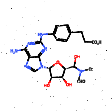 CCN(C=O)C(O)[C@H]1O[C@@H](n2cnc3c(N)nc(Nc4ccc(CCC(=O)O)cc4)nc32)[C@H](O)[C@@H]1O